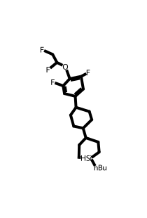 CCCC[SiH]1CCC(C2CCC(c3cc(F)c(OC(F)CF)c(F)c3)CC2)CC1